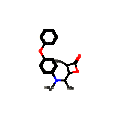 CCCCCCC1C(=O)OC1C(CCCC)N(C(=O)O)c1ccc(Oc2ccccc2)cc1